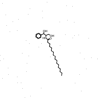 CCCCCCCCCCCCCCCCCC(=O)NC(CO)C(O)c1ccccc1